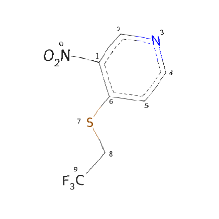 O=[N+]([O-])c1cnccc1SCC(F)(F)F